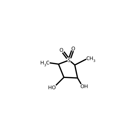 CC1C(O)C(O)C(C)S1(=O)=O